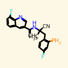 C=C(NC(C)(C#N)Cc1ccc(F)cc1P)c1cnc2c(F)cccc2c1